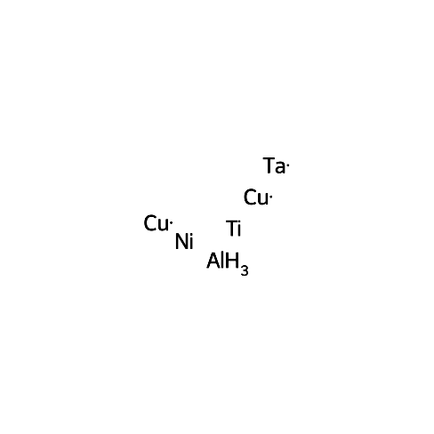 [AlH3].[Cu].[Cu].[Ni].[Ta].[Ti]